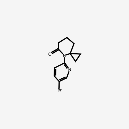 O=C1CCCC2(CC2)N1c1ccc(Br)cn1